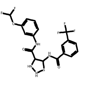 O=C(NC1SNNC1C(=O)Nc1cccc(OC(F)F)c1)c1cccc(C(F)(F)F)c1